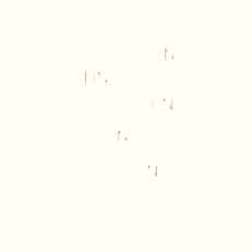 Cc1[nH]c(-c2ccc3ccc4cccnc4c3n2)c(C#N)c1C#N